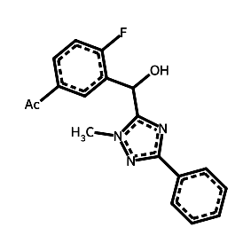 CC(=O)c1ccc(F)c(C(O)c2nc(-c3ccccc3)nn2C)c1